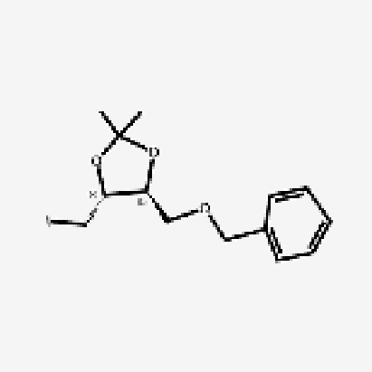 CC1(C)O[C@@H](CI)[C@H](COCc2ccccc2)O1